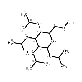 COCC1OC(OC(C)C)C(OC(C)C)[C@@H](OC(C)C)[C@@H]1OC(C)C